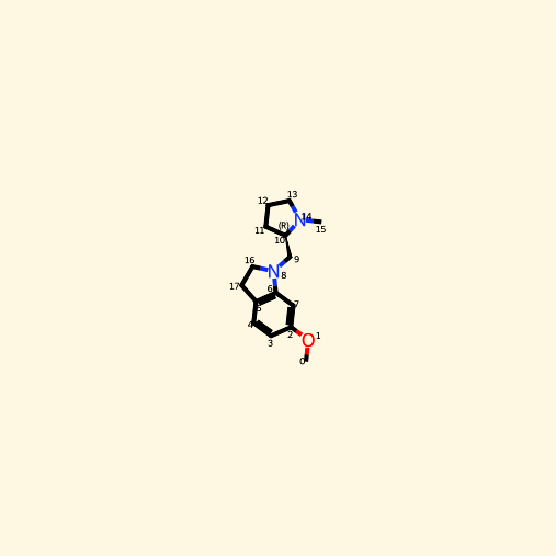 COc1ccc2c(c1)N(C[C@H]1CCCN1C)CC2